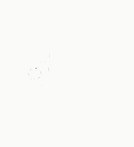 CCCCCC1CCC(C2CCC(C(F)(F)Oc3cc(C(C)(C)C)c(O)c(C(C)(C)C)c3)CC2)OC1